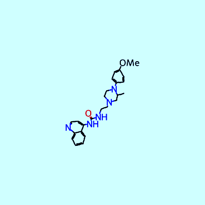 COc1ccc(N2CCN(CCNC(=O)Nc3ccnc4ccccc34)CC2C)cc1